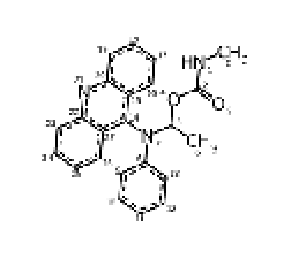 CNC(=O)OC(C)N(c1ccccc1)c1c2ccccc2nc2ccccc12